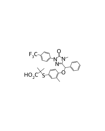 Cc1cc(SC(C)(C)C(=O)O)ccc1OC(c1ccccc1)c1nn(-c2ccc(C(F)(F)F)cc2)c(=O)n1C